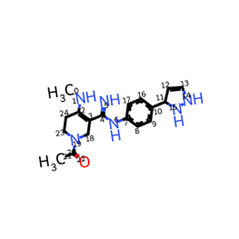 CNC1=C(C(=N)Nc2ccc(C3C=CNN3)cc2)CN(C(C)=O)CC1